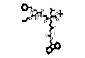 C=CCOC(=O)N[C@@H](COCc1ccccc1)C(=O)NCC(=O)N(CCC(=O)CNC(=O)OCC1c2ccccc2-c2ccccc21)[C@@H](CC(C)C)C(=O)OC(C)(C)C